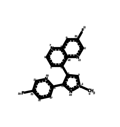 Cn1cc(-c2ccnc3cc(F)cnc23)c(-c2ccc(F)cn2)n1